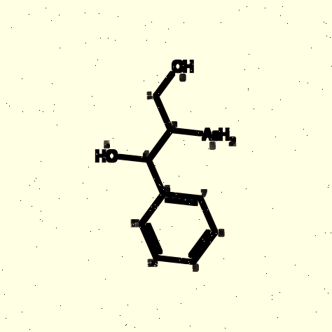 OCC([AsH2])C(O)c1ccccc1